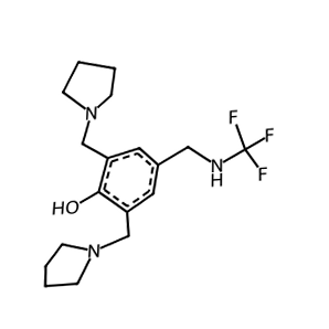 Oc1c(CN2CCCC2)cc(CNC(F)(F)F)cc1CN1CCCC1